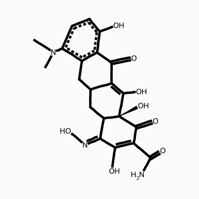 CN(C)c1ccc(O)c2c1CC1CC3/C(=N\O)C(O)=C(C(N)=O)C(=O)[C@@]3(O)C(O)=C1C2=O